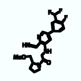 COCC1CCCN1C(=O)CNc1cc(-c2ccc(F)c(C(F)F)c2)cnc1C=N